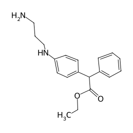 CCOC(=O)C(c1ccccc1)c1ccc(NCCCN)cc1